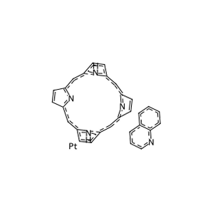 C1=Cc2cc3ccc(cc4nc(cc5ccc(cc1n2)[nH]5)C=C4)[nH]3.[Pt].c1ccc2ncccc2c1